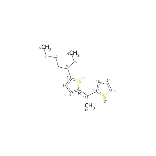 CCCCC(CC)c1ccc(C(C)c2cccs2)s1